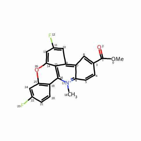 COC(=O)c1ccc2c(c1)c1cc(F)cc3c1c([n+]2C)-c1ccc(F)cc1O3